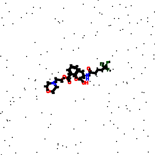 O=C(CCCC(F)(F)F)N[C@H]1Cc2cccc(C(=O)OCCN3CCOCC3)c2OB1O